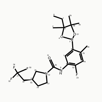 CCC1(C)OB(c2cc(NC(=O)N3CC[C@@H](CC(F)(F)F)C3)c(F)cc2C)OC1(C)C